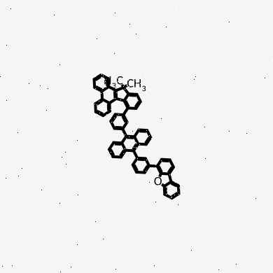 CC1(C)c2cccc(-c3cccc(-c4c5ccccc5c(-c5cccc(-c6cccc7c6oc6ccccc67)c5)c5ccccc45)c3)c2-c2c1c1ccccc1c1ccccc21